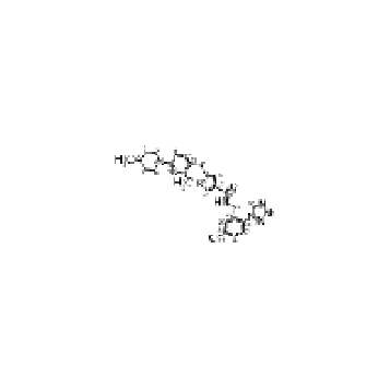 Cc1nc(N2CCC(C)CC2)ccc1Cn1cc(C(=O)NCc2cc(Cl)ccc2-n2cnnn2)cn1